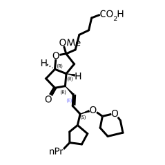 CCCC1CCC([C@@H](/C=C/[C@H]2C(=O)C[C@H]3OC(CCCCC(=O)O)(OC)C[C@@H]32)OC2CCCCO2)C1